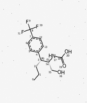 CCC[C@H](c1ccc(C(F)(F)F)cc1)[C@@H](CO)NC(=O)O